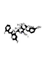 C=C(/N=C(/N)C(=C(N)N)N(Cc1ccc(C(C)(C)C)cc1)C(=O)OC)n1nc(Cc2ccccc2F)c2ncc(F)cc21